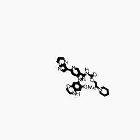 COc1cc2c(cc1-n1nc(NC(=O)OCCN3CCCCC3)c3cnc(-c4cnn5cccnc45)cc31)OCCN2